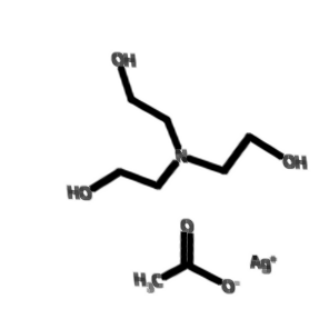 CC(=O)[O-].OCCN(CCO)CCO.[Ag+]